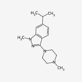 CC(C)c1ccc2c(N3CCN(C)CC3)nn(C)c2c1